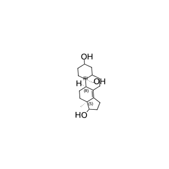 C[C@]12CC[C@@H]3C(=C1CCC2O)CCC1CC(O)CC[C@@]13CO